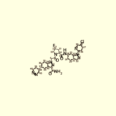 NC(=O)c1nn(CC(=O)N2CC(F)CC2C(=O)Nc2ccc3cnn(-c4ccc(Cl)cn4)c3c2)c2ccc(-c3ccnnc3)cc12